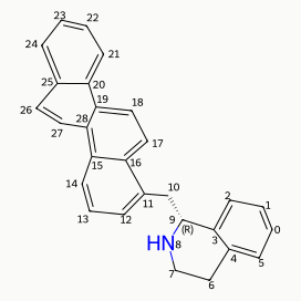 c1ccc2c(c1)CCN[C@@H]2Cc1cccc2c1ccc1c3ccccc3ccc21